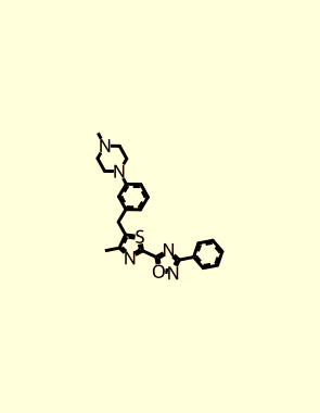 Cc1nc(-c2nc(-c3ccccc3)no2)sc1Cc1cccc(N2CCN(C)CC2)c1